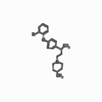 CC1CCN(CCC(C)c2ccc(Oc3ccccc3Br)cc2)CC1